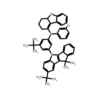 CC(C)(C)c1cc(N(C2=C3c4ccccc4OC3CCC2)c2cccc(Cl)c2)cc(-n2c3c(c4cc(C(C)(C)C)ccc42)C(C)(C)c2ccccc2-3)c1